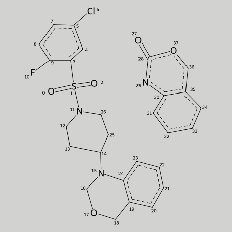 O=S(=O)(c1cc(Cl)ccc1F)N1CCC(N2COCc3ccccc32)CC1.O=c1nc2ccccc2co1